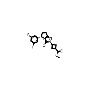 COC(=O)C1CC(n2nc3n(c2=O)[C@H](c2cc(F)cc(F)c2)CC3)C1